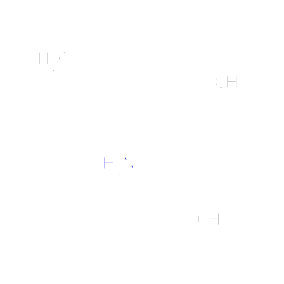 C=C/C=C(/C)C(N)CC